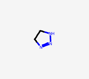 [C]1CN=NN1